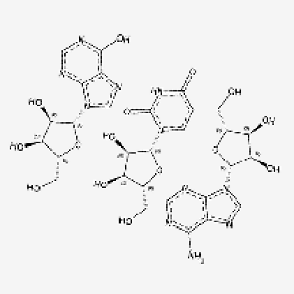 Nc1ncnc2c1ncn2[C@@H]1O[C@H](CO)[C@@H](O)[C@H]1O.O=c1ccn([C@@H]2O[C@H](CO)[C@@H](O)[C@H]2O)c(=O)[nH]1.OC[C@H]1O[C@@H](n2cnc3c(O)ncnc32)[C@H](O)[C@@H]1O